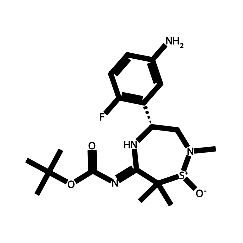 CN1C[C@@H](c2cc(N)ccc2F)NC(=NC(=O)OC(C)(C)C)C(C)(C)[S+]1[O-]